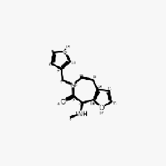 CNC1C(=O)N(Cc2ccsc2)CCc2ccoc21